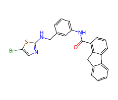 O=C(Nc1cccc(CNc2ncc(Br)s2)c1)c1cccc2c1Cc1ccccc1-2